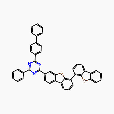 c1ccc(-c2ccc(-c3nc(-c4ccccc4)nc(-c4ccc5c(c4)sc4c(-c6cccc7c6sc6ccccc67)cccc45)n3)cc2)cc1